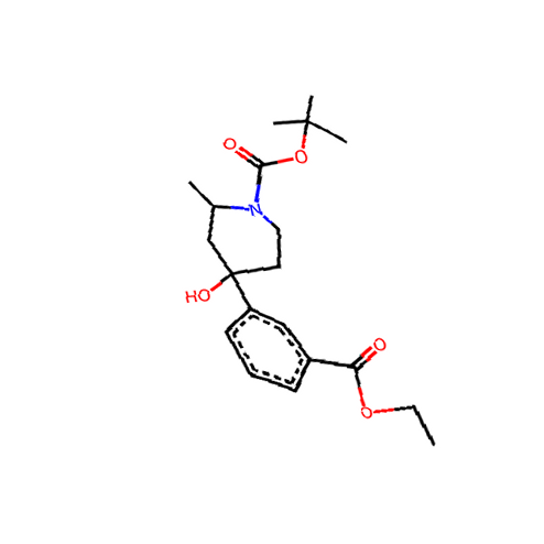 CCOC(=O)c1cccc(C2(O)CCN(C(=O)OC(C)(C)C)C(C)C2)c1